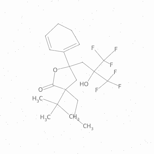 CCCC1(C(C)(C)C)CC(CC(O)(C(F)(F)F)C(F)(F)F)(C2=CCCC=C2)OC1=O